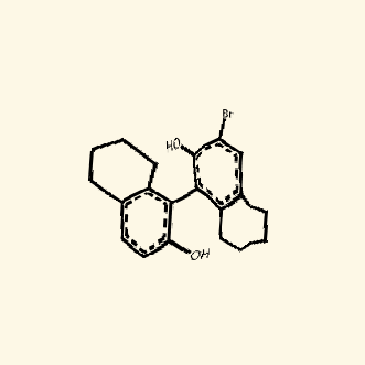 Oc1ccc2c(c1-c1c(O)c(Br)cc3c1CCCC3)CCCC2